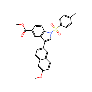 COC(=O)c1ccc2c(c1)c(-c1ccc3cc(OC)ccc3c1)cn2S(=O)(=O)c1ccc(C)cc1